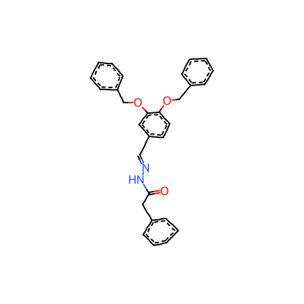 O=C(Cc1ccccc1)N/N=C/c1ccc(OCc2ccccc2)c(OCc2ccccc2)c1